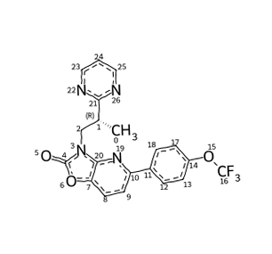 C[C@H](Cn1c(=O)oc2ccc(-c3ccc(OC(F)(F)F)cc3)nc21)c1ncccn1